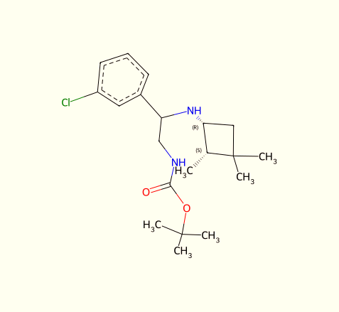 C[C@@H]1[C@H](NC(CNC(=O)OC(C)(C)C)c2cccc(Cl)c2)CC1(C)C